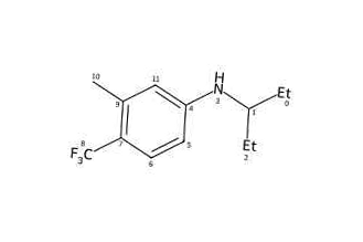 CCC(CC)Nc1ccc(C(F)(F)F)c(C)c1